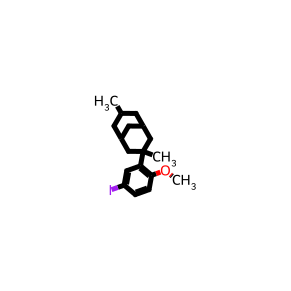 COc1ccc(I)cc1C1(C)CC2CC(C)CC(C2)C1